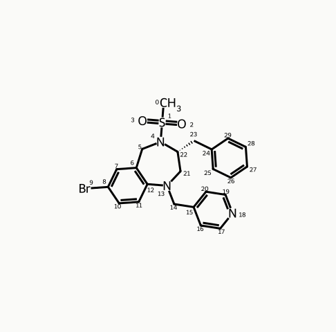 CS(=O)(=O)N1Cc2cc(Br)ccc2N(Cc2ccncc2)C[C@H]1Cc1ccccc1